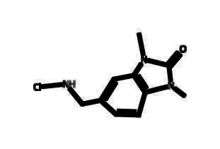 Cn1c(=O)n(C)c2cc(CNCl)ccc21